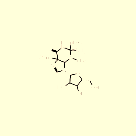 CCCCCN1C2N([C@@H]3O[C@H](CO)C(O)C3O)C=NC2(CCCCC)C(=O)NC1(N)CCCCC